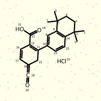 CC1(C)CCC(C)(C)c2cc(C3=C(C(=O)O)C=CC(=C=O)C3)ccc21.Cl